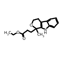 CCOC(=O)CCC1(C)OCCc2c1[nH]c1ccccc21